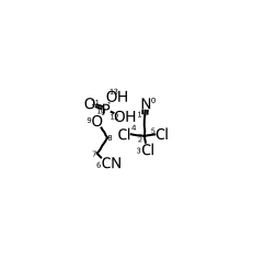 N#CC(Cl)(Cl)Cl.N#CCCOP(=O)(O)O